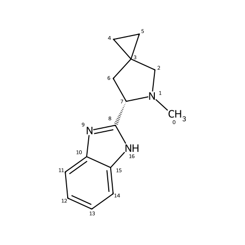 CN1CC2(CC2)C[C@H]1c1nc2ccccc2[nH]1